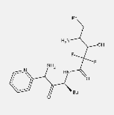 CCC(C)[C@H](NC(=O)C(F)(F)C(O)C(N)CC(C)C)C(=O)C(N)c1ccccn1